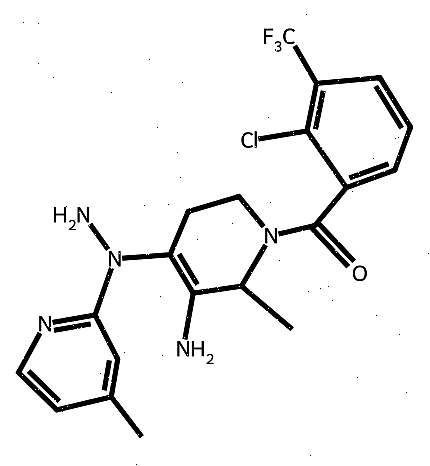 Cc1ccnc(N(N)C2=C(N)C(C)N(C(=O)c3cccc(C(F)(F)F)c3Cl)CC2)c1